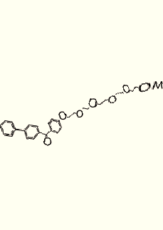 COCCOCCOCCOCCOCCOc1ccc(C(=O)c2ccc(-c3ccc(C)cc3)cc2)cc1